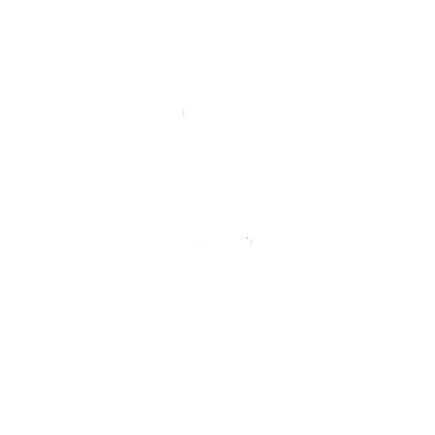 CN(C(=O)CCCC(=O)O)C1CCCCC1